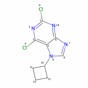 Clc1nc(Cl)c2c(ncn2C2CCC2)n1